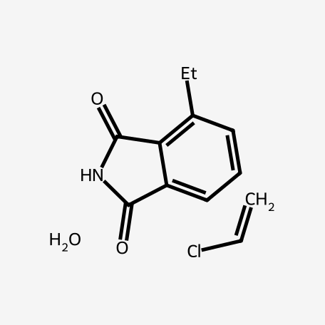 C=CCl.CCc1cccc2c1C(=O)NC2=O.O